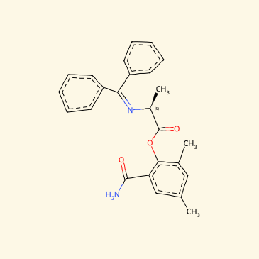 Cc1cc(C)c(OC(=O)[C@H](C)N=C(c2ccccc2)c2ccccc2)c(C(N)=O)c1